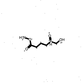 NOC(=O)CCC[PH](=O)CO